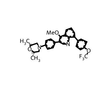 COc1c(-c2ccc(N3C[C@@H](C)O[C@@H](C)C3)cc2)cnc2c(-c3ccc(OC(F)(F)F)cc3)cccc12